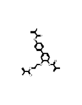 C=C(C)C(=O)OCCOc1cc(-c2ccc(OC(=O)C(=C)C)cc2)ccc1OC(=O)C(=C)C